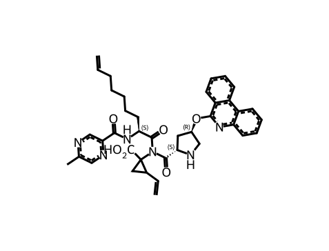 C=CCCCCC[C@H](NC(=O)c1cnc(C)cn1)C(=O)N(C(=O)[C@@H]1C[C@@H](Oc2nc3ccccc3c3ccccc23)CN1)C1(C(=O)O)CC1C=C